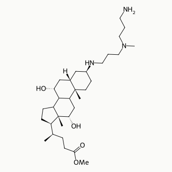 COC(=O)CC[C@@H](C)[C@H]1CCC2C3C(C[C@H](O)[C@@]21C)[C@@]1(C)CC[C@H](NCCCN(C)CCCN)C[C@H]1C[C@H]3O